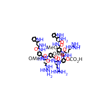 COc1ccc(NC(=O)[C@H](CCCNC(=N)N)NC(=O)c2cc(NC(=O)[C@H](CCCNC(=N)N)NC(=O)c3cc(NC(=O)[C@H](CCCNC(=N)N)NC(=O)c4cc(NC(=O)[C@@H](N)Cc5c[nH]c6ccccc56)ccc4OC)ccc3OC)ccc2OCC(=O)O)cc1C(=O)N[C@@H](Cc1c[nH]c2ccccc12)C(N)=O